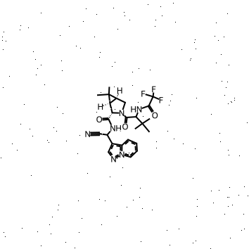 CC(C)(C)C(NC(=O)C(F)(F)F)C(=O)N1C[C@H]2[C@@H]([C@H]1C(=O)NC(C#N)c1cnn3ccccc13)C2(C)C